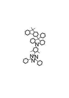 Cc1cc(N2c3ccccc3C(c3ccccc3)(c3ccc4c(c3)-c3ccccc3C4(C)C)c3ccccc32)cc(C)c1-c1nc(-c2ccccc2)nc(-c2ccccc2)n1